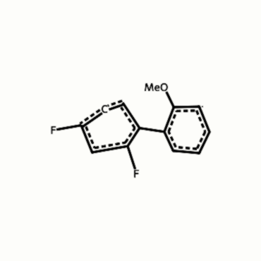 COc1[c]cccc1-c1ccc(F)cc1F